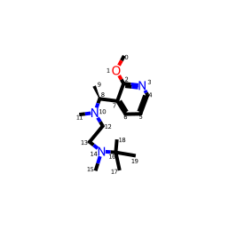 COc1ncccc1[C@H](C)N(C)CCN(C)C(C)(C)C